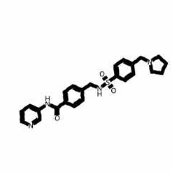 O=C(Nc1cccnc1)c1ccc(CNS(=O)(=O)c2ccc(CN3CCCC3)cc2)cc1